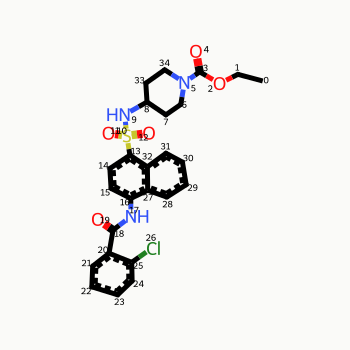 CCOC(=O)N1CCC(NS(=O)(=O)c2ccc(NC(=O)c3ccccc3Cl)c3ccccc23)CC1